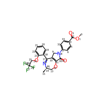 COC(=O)c1ccc(N2CC3=C(OC[C@@H](C)N=C3c3ccccc3OCC(F)(F)F)C2=O)cc1